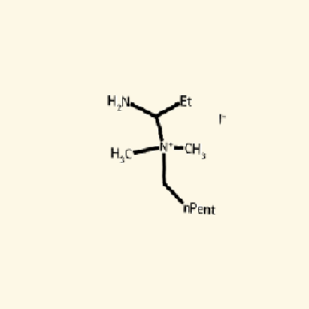 CCCCCC[N+](C)(C)C(N)CC.[I-]